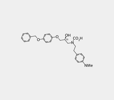 CNc1ccc(CCN(C[C@H](O)COc2ccc(OCc3ccccc3)cc2)C(=O)O)cc1